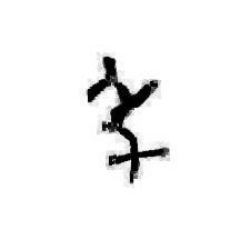 CN(C)C(=S)NCC(F)(F)F